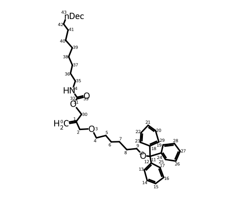 C=C(COCCCCCCOC(c1ccccc1)(c1ccccc1)c1ccccc1)COC(=O)NCCCCCCCCCCCCCCCCCC